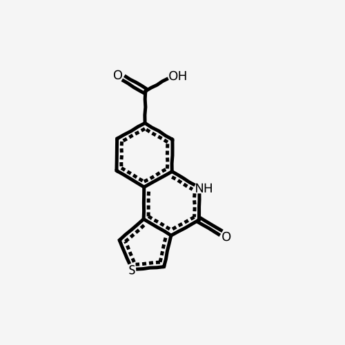 O=C(O)c1ccc2c(c1)[nH]c(=O)c1cscc12